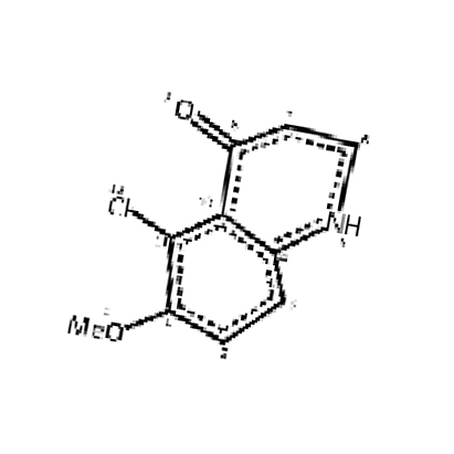 COc1ccc2[nH]ccc(=O)c2c1Cl